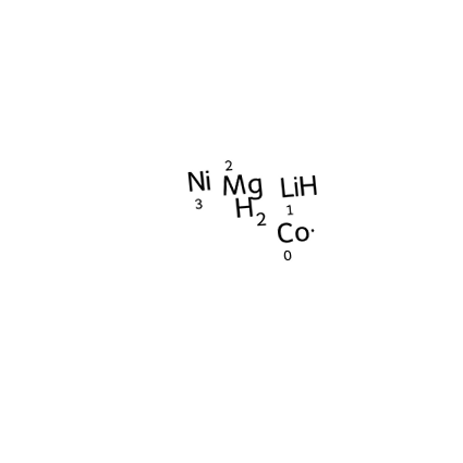 [Co].[LiH].[MgH2].[Ni]